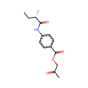 CC[C@H](C)C(=O)Nc1ccc(C(=O)OCC(C)=O)cc1